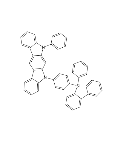 c1ccc(-n2c3ccccc3c3cc4c5ccccc5n(-c5ccc([Si]6(c7ccccc7)c7ccccc7-c7ccccc76)cc5)c4cc32)cc1